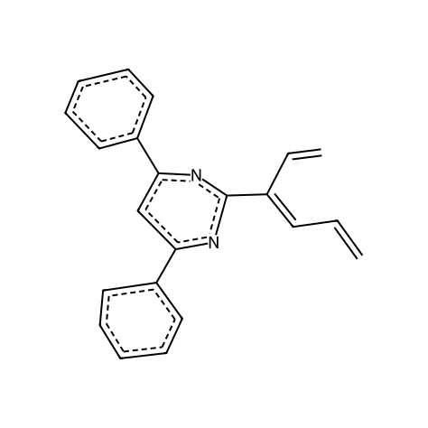 C=C/C=C(\C=C)c1nc(-c2ccccc2)cc(-c2ccccc2)n1